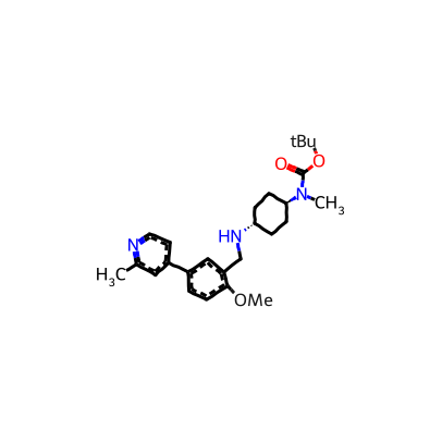 COc1ccc(-c2ccnc(C)c2)cc1CN[C@H]1CC[C@H](N(C)C(=O)OC(C)(C)C)CC1